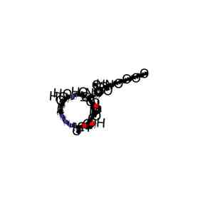 COCCOCCOCCOCCNC(=O)O[C@@H]1CC[C@@H](C[C@@H](N)[C@@H]2CC(=O)[C@H](C)/C=C(\C)[C@@H](O)[C@@H](O)C(=O)[C@H](C)C[C@H](C)/C=C/C=C/C=C(\C)[C@@H](OC)C[C@@H]3CC[C@@H](C)[C@](O)(CC(=O)N4CCCC[C@H]4C(=O)O2)O3)C[C@H]1OC